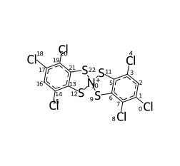 Clc1cc(Cl)c2c(c1Cl)S[N+]1(S2)Sc2c(Cl)cc(Cl)c(Cl)c2S1